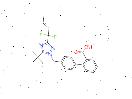 CCCC(F)(F)c1nc(C(C)(C)C)n(Cc2ccc(-c3ccccc3C(=O)O)cc2)n1